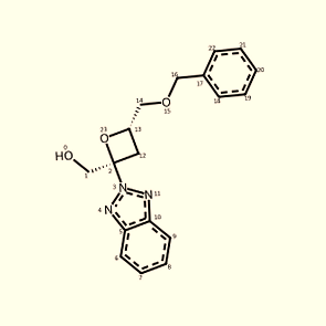 OC[C@@]1(n2nc3ccccc3n2)C[C@@H](COCc2ccccc2)O1